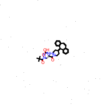 CC(C)(C)C(=O)NC[C@H](NC(=O)O)C(=O)N1CCC(=C2c3ccccc3C=Cc3ccccc32)CC1